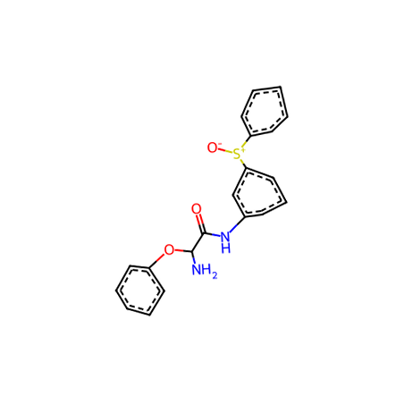 NC(Oc1ccccc1)C(=O)Nc1cccc([S+]([O-])c2ccccc2)c1